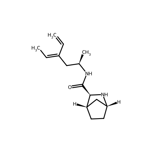 C=C/C(=C\C)C[C@@H](C)NC(=O)[C@H]1N[C@@H]2CC[C@H]1C2